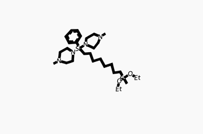 CCO[Si](C)(CCCCCCCC[Si](c1ccccc1)(N1CCN(C)CC1)N1CCN(C)CC1)OCC